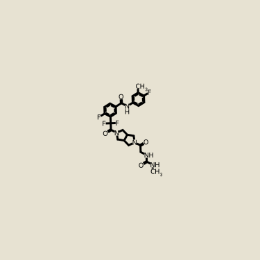 CNC(=O)NCC(=O)N1CC2CN(C(=O)C(F)(F)c3cc(C(=O)Nc4ccc(F)c(C)c4)ccc3F)CC2C1